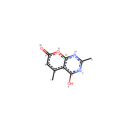 Cc1nc(O)c2c(C)cc(=O)oc2n1